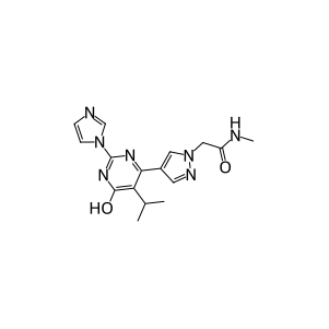 CNC(=O)Cn1cc(-c2nc(-n3ccnc3)nc(O)c2C(C)C)cn1